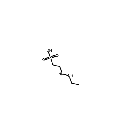 CCNNCCS(=O)(=O)O